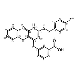 O=C(O)c1cccc(Cc2nc(SCc3ccc(F)cc3)[nH]c(=O)c2Cc2cncnc2)c1